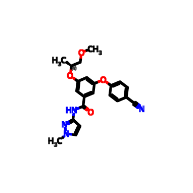 COC[C@H](C)Oc1cc(Oc2ccc(C#N)cc2)cc(C(=O)Nc2ccn(C)n2)c1